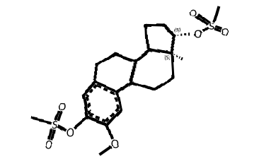 COc1cc2c(cc1OS(C)(=O)=O)CCC1C2CC[C@@]2(C)C1CC[C@@H]2OS(C)(=O)=O